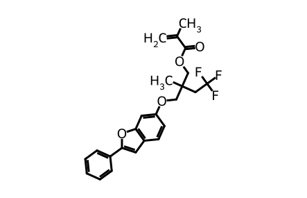 C=C(C)C(=O)OCC(C)(COc1ccc2cc(-c3ccccc3)oc2c1)CC(F)(F)F